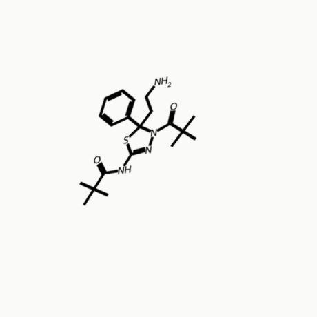 CC(C)(C)C(=O)NC1=NN(C(=O)C(C)(C)C)C(CCN)(c2ccccc2)S1